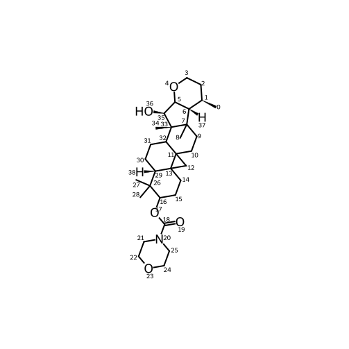 C[C@@H]1CCOC2[C@H]1C1(C)CCC34CC35CCC(OC(=O)N3CCOCC3)C(C)(C)[C@@H]5CCC4[C@]1(C)[C@H]2O